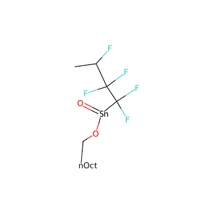 CCCCCCCCC[O][Sn](=[O])[C](F)(F)C(F)(F)C(C)F